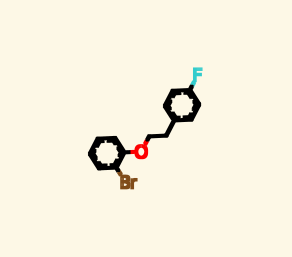 Fc1ccc(CCOc2ccccc2Br)cc1